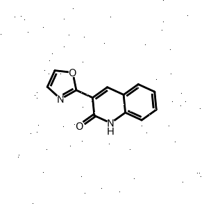 O=c1[nH]c2ccccc2cc1-c1ncco1